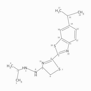 CC(C)NNC1CSC(c2nc3ccc(C(C)C)cc3s2)=N1